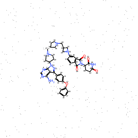 Nc1ncnc2c1c(-c1ccc(Oc3ccccc3)cc1)nn2C1CCN(C[C@@H]2CCN(CC3CN(c4ccc5c(c4)C(=O)N(C4CCC(=O)NC4=O)C5=O)C3)C2)CC1